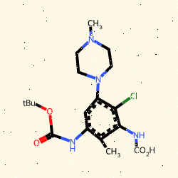 Cc1c(NC(=O)OC(C)(C)C)cc(N2CCN(C)CC2)c(Cl)c1NC(=O)O